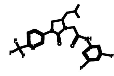 CC(C)CC1CN(c2ccc(C(F)(F)F)nc2)C(=O)N1CC(=O)Nc1cc(F)cc(F)c1